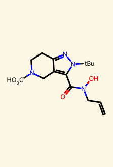 C=CCN(O)C(=O)c1c2c(nn1C(C)(C)C)CCN(C(=O)O)C2